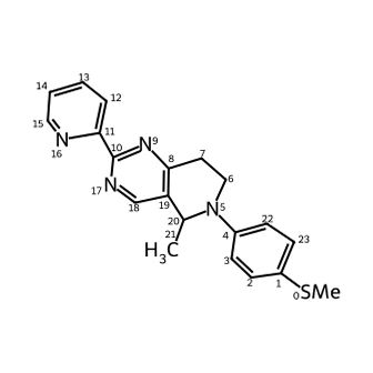 CSc1ccc(N2CCc3nc(-c4ccccn4)ncc3C2C)cc1